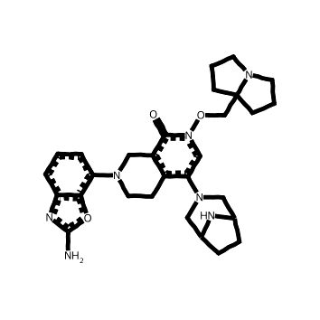 Nc1nc2cccc(N3CCc4c(N5CC6CCC(C5)N6)cn(OCC56CCCN5CCC6)c(=O)c4C3)c2o1